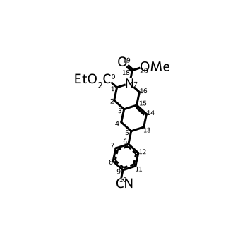 CCOC(=O)C1CC2CC(c3ccc(C#N)cc3)CC=C2CN1C(=O)OC